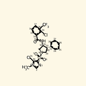 Cn1cnc(S(=O)(=O)N2C[C@@H](NC(=O)c3cccc(C(F)(F)F)c3Cl)[C@H](c3ccccc3)C2)c1Cl